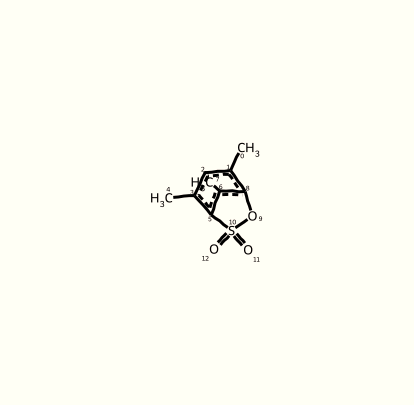 Cc1cc(C)c2c(C)c1OS2(=O)=O